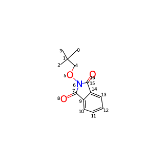 CC(C)(C)CON1C(=O)c2ccccc2C1=O